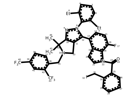 CCc1cccc(CC)c1-n1nc2c(c1-c1ccc(F)c3c1ccn3C(=O)c1ccccc1CI)CN(Cc1ccc(C(F)(F)F)cc1C(F)(F)F)C2(C)C